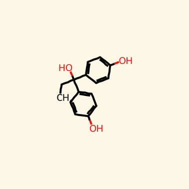 CCC(O)(c1ccc(O)cc1)c1ccc(O)cc1